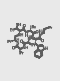 CCC(S)[C@H](NC[C@@H](NC(=O)[C@H](NC(=O)[C@@H](NC(C)=O)C(C)C)C(C)C)C(C)C)C(=O)N[C@@H](C(=O)N[C@@H](Cc1c[nH]c2ccccc12)C(=O)N/C=C/C(C)C)C(C)(C)C